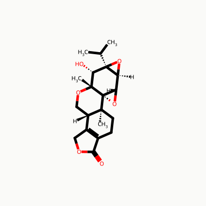 CC(C)[C@]12O[C@H]1[C@@H]1O[C@@]13[C@@]1(C)CCC4=C(COC4=O)[C@@H]1CO[C@]3(C)[C@@H]2O